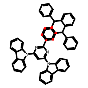 c1ccc(C23c4ccccc4C(c4ccccc4)(c4ccccc42)c2cc(-c4nc(-n5c6ccccc6c6ccccc65)cc(-n5c6ccccc6c6ccccc65)n4)ccc23)cc1